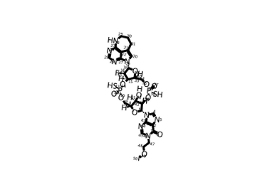 O=c1c2ncn([C@@H]3O[C@@H]4CO[P@@](=O)(S)O[C@H]5[C@@H](F)[C@H](n6cc7c8c(ncnc86)NCCC7)O[C@@H]5CO[P@](=O)(S)O[C@@H]3[C@@H]4O)c2ncn1CCOI